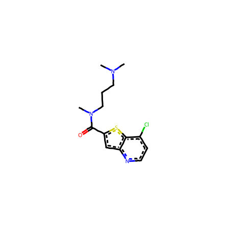 CN(C)CCCN(C)C(=O)c1cc2nccc(Cl)c2s1